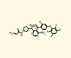 C=CC(=O)N[C@@H]1CCC(C(C)c2ncnc(N)c2/C(=N\C)c2ccc(Oc3c(F)c(F)cc(F)c3F)cc2F)C1